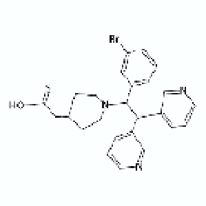 OC(=S)CC1CCN(C(c2cccc(Br)c2)C(c2cccnc2)c2cccnc2)CC1